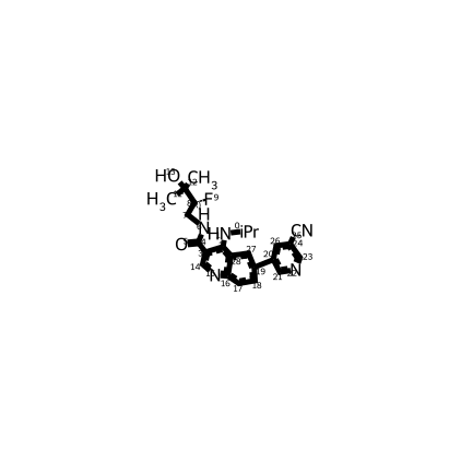 CC(C)Nc1c(C(=O)NC[C@@H](F)C(C)(C)O)cnc2ccc(-c3cncc(C#N)c3)cc12